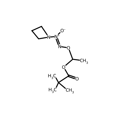 CC(ON=[N+]([O-])N1CCC1)OC(=O)C(C)(C)C